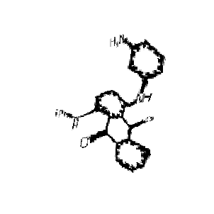 CC(C)Nc1ccc(Nc2cccc(N)c2)c2c1C(=O)c1ccccc1C2=O